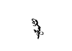 CCOC(=O)C(CCCC1CCSS1)N(C)C